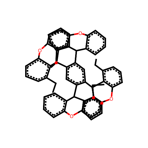 CCc1cccc2c1C(c1cc(C3c4ccccc4Oc4cccc(CC)c43)c(C3c4ccccc4Oc4cccc(CC)c43)cc1C1c3ccccc3Oc3cccc(CC)c31)c1ccccc1O2